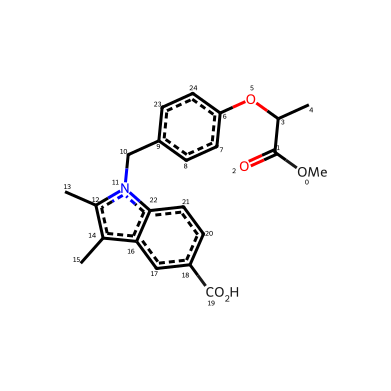 COC(=O)C(C)Oc1ccc(Cn2c(C)c(C)c3cc(C(=O)O)ccc32)cc1